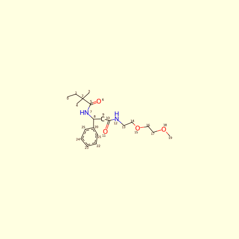 CCC(C)(C)C(=O)NC(CC(=O)NCCOCCOC)c1ccccc1